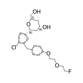 OC[C@@H]1C[C@H](O)C[C@H](c2ccc(Cl)c(Cc3ccc(OCCOCCF)cc3)c2)O1